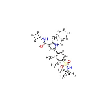 Cc1c(-c2cc(C(=O)NC3CCC3)c(C)n2CC2CCCCC2)ccc(S(=O)(=O)NC(C)(C)C)c1C